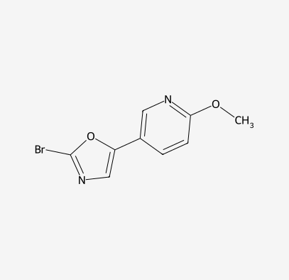 COc1ccc(-c2cnc(Br)o2)cn1